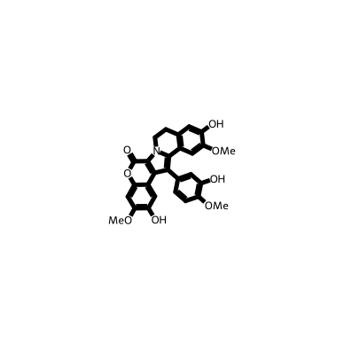 COc1ccc(-c2c3n(c4c(=O)oc5cc(OC)c(O)cc5c24)CCc2cc(O)c(OC)cc2-3)cc1O